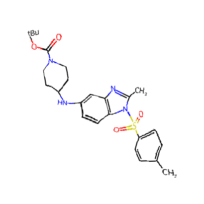 Cc1ccc(S(=O)(=O)n2c(C)nc3cc(NC4CCN(C(=O)OC(C)(C)C)CC4)ccc32)cc1